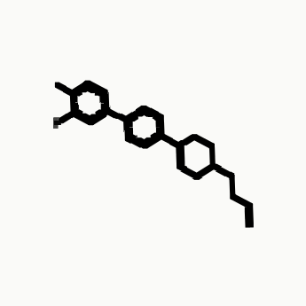 C=CCCC1CC=C(c2ccc(-c3ccc(C)c(F)c3)cc2)CC1